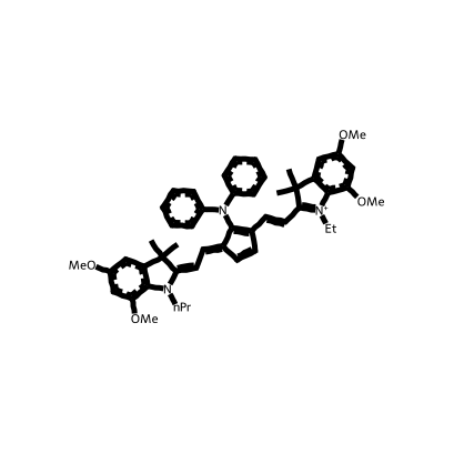 CCCN1/C(=C/C=C2\C=CC(/C=C/C3=[N+](CC)c4c(OC)cc(OC)cc4C3(C)C)=C2N(c2ccccc2)c2ccccc2)C(C)(C)c2cc(OC)cc(OC)c21